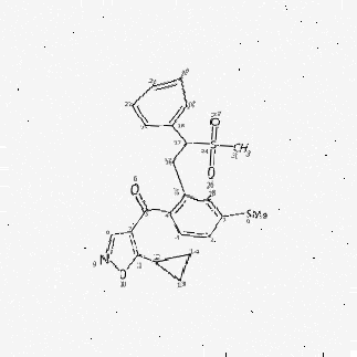 CSc1ccc(C(=O)c2cnoc2C2CC2)c(CC(c2ccccc2)S(C)(=O)=O)c1